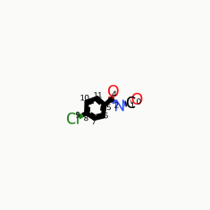 O=C=NC(=O)c1ccc(Cl)cc1